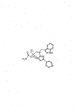 CC(C)(C[C@@H](Cc1c[nH]c2ccccc12)c1nc(-c2ccncc2)c[nH]1)OC(N)=O